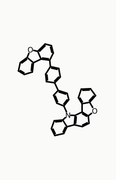 c1ccc2c(c1)oc1cccc(-c3ccc(-c4ccc(-n5c6ccccc6c6ccc7oc8ccccc8c7c65)cc4)cc3)c12